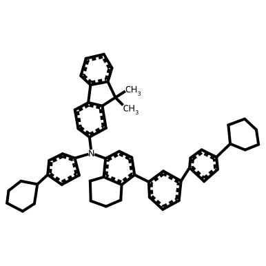 CC1(C)c2ccccc2-c2ccc(N(c3ccc(C4CCCCC4)cc3)c3ccc(-c4cccc(-c5ccc(C6CCCCC6)cc5)c4)c4c3CCCC4)cc21